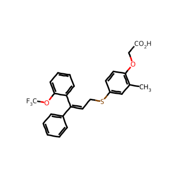 Cc1cc(SC/C=C(/c2ccccc2)c2ccccc2OC(F)(F)F)ccc1OCC(=O)O